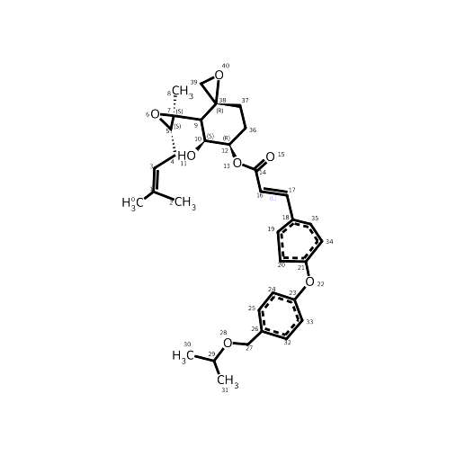 CC(C)=CC[C@@H]1O[C@@]1(C)C1[C@H](O)[C@H](OC(=O)/C=C/c2ccc(Oc3ccc(COC(C)C)cc3)cc2)CC[C@]12CO2